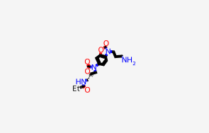 CCC(=O)NC[C@H]1CN(c2ccc3c(c2)oc(=O)n3CCCN)C(=O)O1